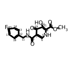 COC(=O)c1[nH]cc(C(=O)NCc2ccc(F)cc2)c(=O)c1O